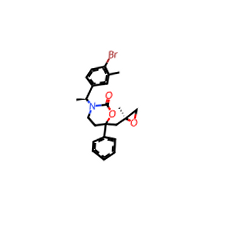 Cc1cc([C@H](C)N2CCC(C[C@@]3(C)CO3)(c3ccccc3)OC2=O)ccc1Br